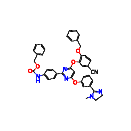 CN1CCN=C1c1cccc(Oc2cc(Oc3cc(C#N)ccc3OCc3ccccc3)nc(-c3ccc(NC(=O)OCc4ccccc4)cc3)n2)c1